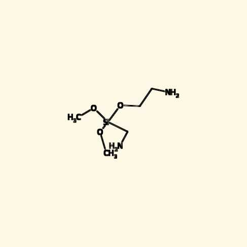 CO[Si](CN)(OC)OCCN